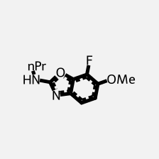 CCCNc1nc2ccc(OC)c(F)c2o1